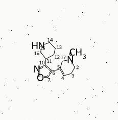 CN1CCC=C(c2conc2C2CCCNC2)C1